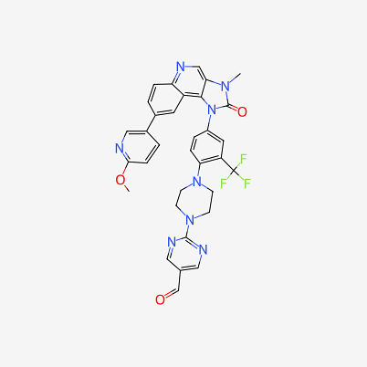 COc1ccc(-c2ccc3ncc4c(c3c2)n(-c2ccc(N3CCN(c5ncc(C=O)cn5)CC3)c(C(F)(F)F)c2)c(=O)n4C)cn1